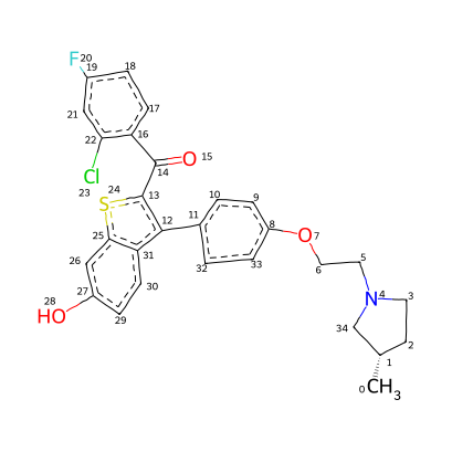 C[C@H]1CCN(CCOc2ccc(-c3c(C(=O)c4ccc(F)cc4Cl)sc4cc(O)ccc34)cc2)C1